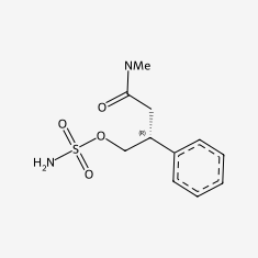 CNC(=O)C[C@@H](COS(N)(=O)=O)c1ccccc1